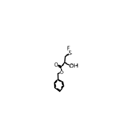 O=C(OCc1ccccc1)C(O)CSF